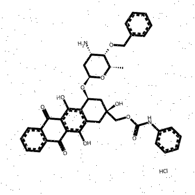 C[C@@H]1O[C@@H](O[C@H]2C[C@](O)(COC(=O)Nc3ccccc3)Cc3c(O)c4c(c(O)c32)C(=O)c2ccccc2C4=O)C[C@H](N)[C@@H]1OCc1ccccc1.Cl